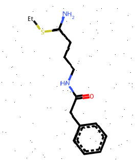 CCSC(N)CCCNC(=O)Cc1ccccc1